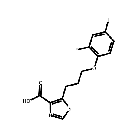 O=C(O)c1ncsc1CCCOc1ccc(I)cc1F